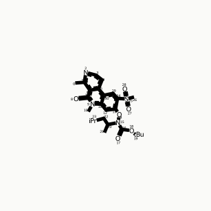 Cc1nccc2c1c(=O)n(C)c1cc(ON(C(=O)OC(C)(C)C)C(C)CC(C)C)c(S(C)(=O)=O)cc21